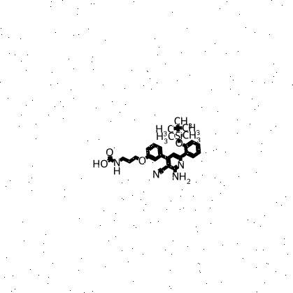 CC(C)(C)[Si](C)(C)Oc1ccccc1-c1cc(-c2cccc(OCCCNC(=O)O)c2)c(C#N)c(N)n1